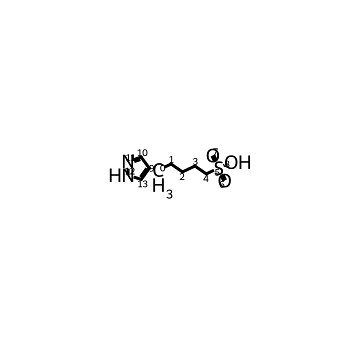 CCCCCS(=O)(=O)O.c1cn[nH]c1